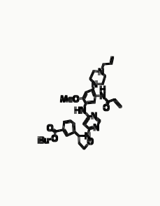 C=CCN1CCN(c2cc(OC)c(Nc3cc(N4OCCC4c4cccc(C(=O)OC(C)CC)c4)ncn3)cc2NC(=O)C=C)CC1